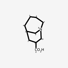 O=C(O)C1CC2CCCCN(C2)C1